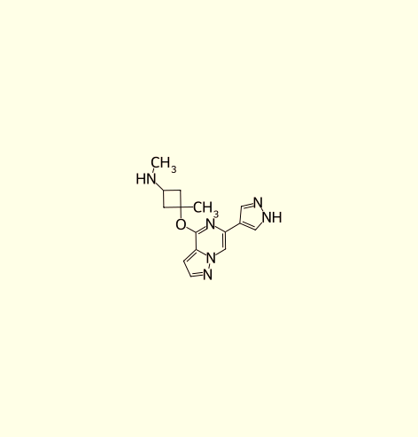 CNC1CC(C)(Oc2nc(-c3cn[nH]c3)cn3nccc23)C1